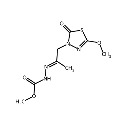 COC(=O)N/N=C(\C)Cn1nc(OC)sc1=O